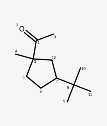 CC(=O)C1(C)CCC(C(C)(C)C)C1